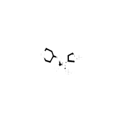 CC(C)(C)N(C(=O)OC1CCOCC1)[C@H]1CCNC1